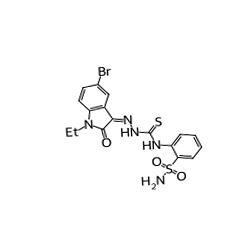 CCN1C(=O)C(=NNC(=S)Nc2ccccc2S(N)(=O)=O)c2cc(Br)ccc21